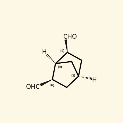 O=C[C@@H]1C[C@H]2C[C@@H]1[C@@H](C=O)C2